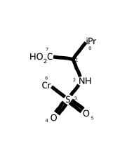 CC(C)C(N[S](=O)(=O)[Cr])C(=O)O